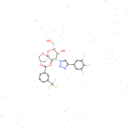 O=C(O[C@@H]1[C@@H](n2cc(-c3cc(F)c(F)c(F)c3)nn2)[C@@H](O)[C@@H](CO)O[C@@]12CCCO2)c1cccc(C(F)(F)F)c1